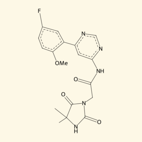 COc1ccc(F)cc1-c1cc(NC(=O)CN2C(=O)NC(C)(C)C2=O)ncn1